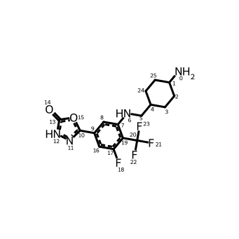 NC1CCC(CNc2cc(-c3n[nH]c(=O)o3)cc(F)c2C(F)(F)F)CC1